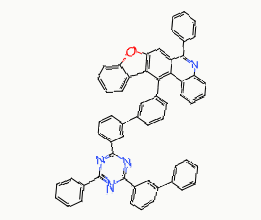 c1ccc(-c2cccc(-c3nc(-c4ccccc4)nc(-c4cccc(-c5cccc(-c6c7c(cc8c(-c9ccccc9)nc9ccccc9c68)oc6ccccc67)c5)c4)n3)c2)cc1